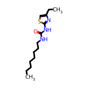 CCCCCCCCNC(=O)Nc1nc(CC)cs1